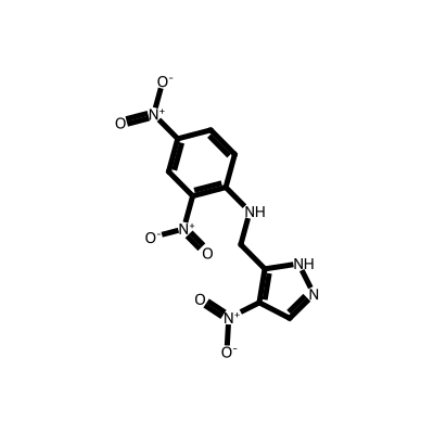 O=[N+]([O-])c1ccc(NCc2[nH]ncc2[N+](=O)[O-])c([N+](=O)[O-])c1